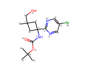 CC1(CO)CC(NC(=O)OC(C)(C)C)(c2ncc(Br)cn2)C1